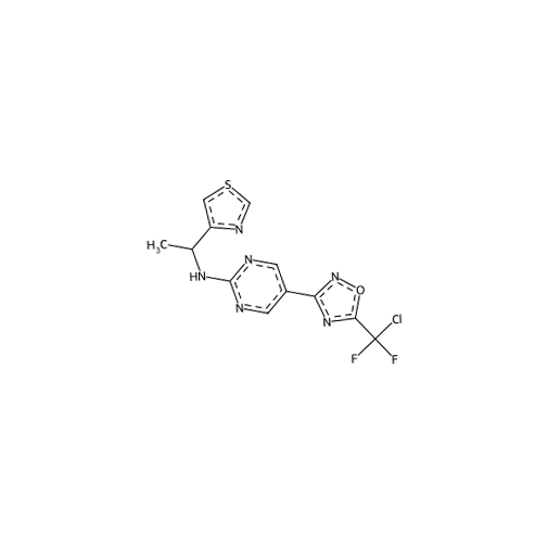 CC(Nc1ncc(-c2noc(C(F)(F)Cl)n2)cn1)c1cscn1